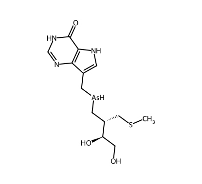 CSC[C@@H](C[AsH]Cc1c[nH]c2c(=O)[nH]cnc12)[C@H](O)CO